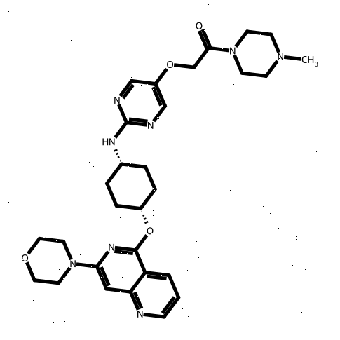 CN1CCN(C(=O)COc2cnc(N[C@H]3CC[C@@H](Oc4nc(N5CCOCC5)cc5ncccc45)CC3)nc2)CC1